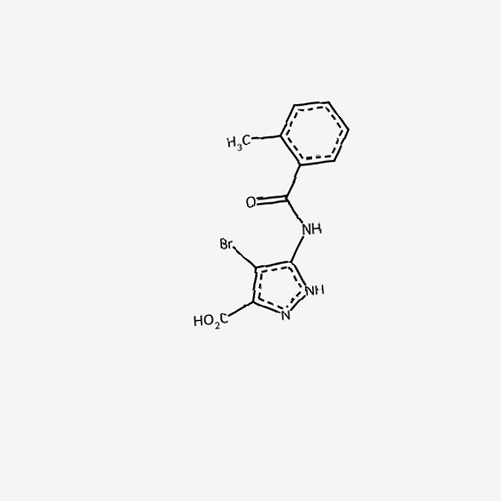 Cc1ccccc1C(=O)Nc1[nH]nc(C(=O)O)c1Br